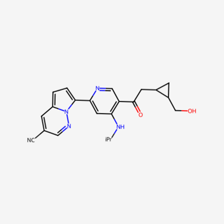 CC(C)Nc1cc(-c2ccc3cc(C#N)cnn23)ncc1C(=O)CC1CC1CO